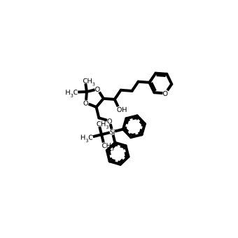 CC1(C)OC(CO[Si](c2ccccc2)(c2ccccc2)C(C)(C)C)C(C(O)CCCC2=COCC=C2)O1